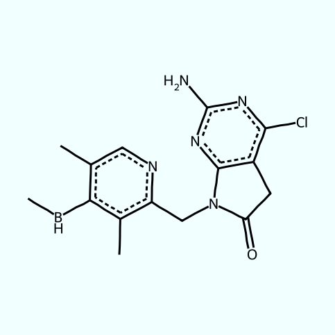 CBc1c(C)cnc(CN2C(=O)Cc3c(Cl)nc(N)nc32)c1C